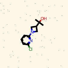 CC(C)(O)C1CN(c2cccc(Cl)n2)C1